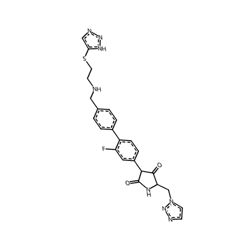 O=C1NC(Cn2ccnn2)C(=O)C1c1ccc(-c2ccc(CNCCSc3cnn[nH]3)cc2)c(F)c1